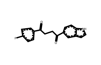 O=C(CCC(=O)c1ccc2[nH]ccc2c1)c1ccc(F)cc1